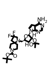 CC(C)(C)OC(=O)N1CCC2(CC1)CC(F)(F)CN2C[C@H]1O[C@@H](n2ccc3c(N)ncnc32)[C@@H]2OC(C)(C)O[C@@H]21